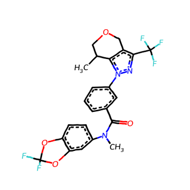 CC1COCc2c(C(F)(F)F)nn(-c3cccc(C(=O)N(C)c4ccc5c(c4)OC(F)(F)O5)c3)c21